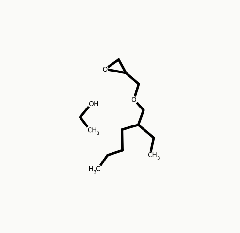 CCCCC(CC)COCC1CO1.CCO